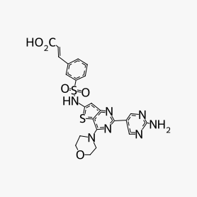 Nc1ncc(-c2nc(N3CCOCC3)c3sc(NS(=O)(=O)c4cccc(/C=C/C(=O)O)c4)cc3n2)cn1